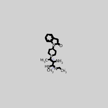 CC/N=C(NC)\C(N)=C(/C)N1CCC(N2C(=O)Cc3ccccc32)CC1